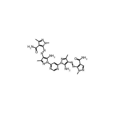 Cc1nn(-c2cc(-n3nc(C)c(N=Nc4c(C(N)=O)c(C)nn4C)c3N)ncn2)c(N)c1N=Nc1c(C(N)=O)cnn1C